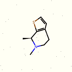 C[C@H]1c2sccc2CCN1C